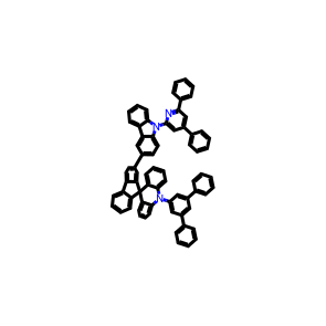 c1ccc(-c2cc(-c3ccccc3)cc(N3c4ccccc4C4(c5ccccc5-c5ccc(-c6ccc7c(c6)c6ccccc6n7-c6cc(-c7ccccc7)cc(-c7ccccc7)n6)cc54)c4ccccc43)c2)cc1